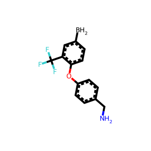 Bc1ccc(Oc2ccc(CN)cc2)c(C(F)(F)F)c1